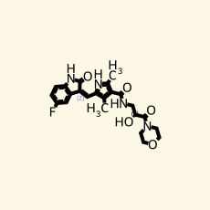 Cc1[nH]c(/C=C2\C(=O)Nc3ccc(F)cc32)c(C)c1C(=O)NC[C@H](O)C(=O)N1CCOCC1